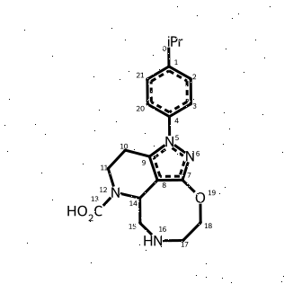 CC(C)c1ccc(-n2nc3c4c2CCN(C(=O)O)C4CNCCO3)cc1